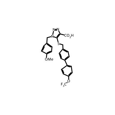 COc1ccc(Cn2nnc(C(=O)O)c2SCc2ccc(-c3ccc(OC(F)(F)F)cc3)cc2)cc1